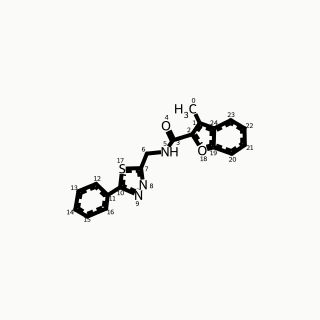 Cc1c(C(=O)NCc2nnc(-c3ccccc3)s2)oc2ccccc12